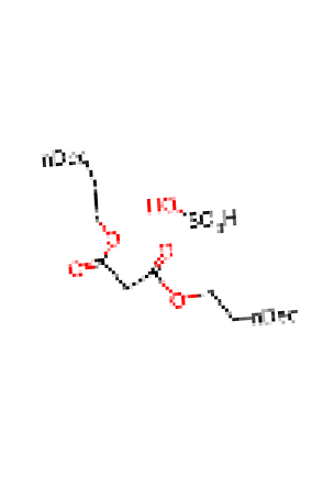 CCCCCCCCCCCCOC(=O)CC(=O)OCCCCCCCCCCCC.O=S(=O)(O)O